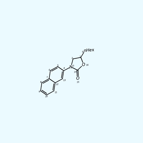 CCCCCCC1CN(c2ccc3ccccc3c2)C(=O)O1